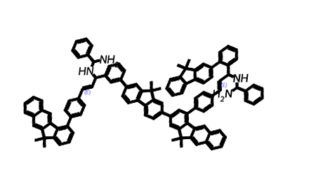 CC1(C)c2cc(-c3cccc(C(/C=C/c4ccc(-c5cccc6c5-c5cc7ccccc7cc5C6(C)C)cc4)NC(N)c4ccccc4)c3)ccc2-c2ccc(-c3cc(-c4ccc(/C=C/C(NC(N)c5ccccc5)c5ccccc5-c5ccc6c(c5)C(C)(C)c5ccccc5-6)cc4)c4c(c3)C(C)(C)c3cc5ccccc5cc3-4)cc21